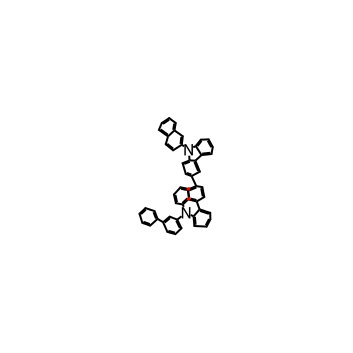 c1ccc(-c2cccc(N(c3ccccc3)c3ccccc3-c3ccc(-c4ccc5c(c4)c4ccccc4n5-c4ccc5ccccc5c4)cc3)c2)cc1